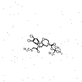 CSCC(=O)NC[C@@H]1CN(C(=O)OC(C)(C)C)CCO[C@H]1c1ccc(Cl)c(Cl)c1